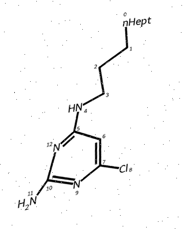 CCCCCCCCCCNc1cc(Cl)nc(N)n1